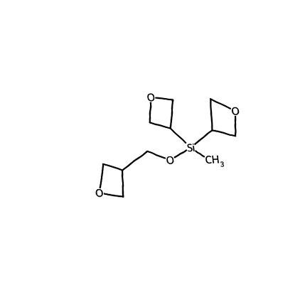 C[Si](OCC1COC1)(C1COC1)C1COC1